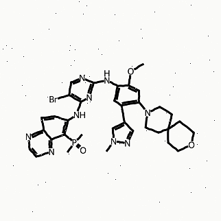 COc1cc(N2CCC3(CCOCC3)CC2)c(-c2cnn(C)c2)cc1Nc1ncc(Br)c(Nc2ccc3nccnc3c2P(C)(C)=O)n1